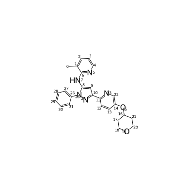 Cc1cccnc1Nc1cc(-c2ccc(OC3CCOCC3)cn2)nn1-c1ccccc1